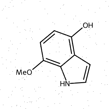 COc1ccc(O)c2cc[nH]c12